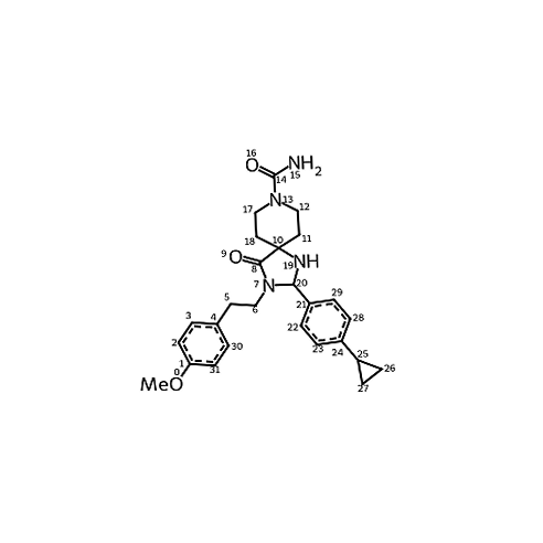 COc1ccc(CCN2C(=O)C3(CCN(C(N)=O)CC3)NC2c2ccc(C3CC3)cc2)cc1